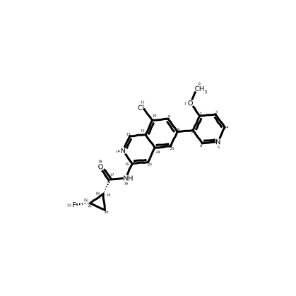 COc1ccncc1-c1cc(Cl)c2cnc(NC(=O)[C@@H]3C[C@@H]3F)cc2c1